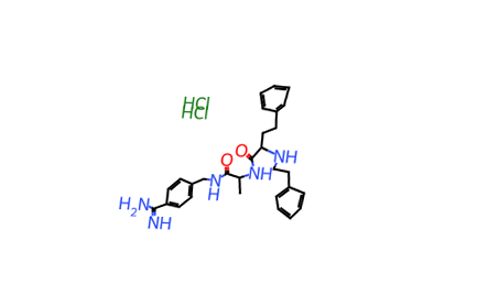 CC(NC(=O)C(CCc1ccccc1)NCCc1ccccc1)C(=O)NCc1ccc(C(=N)N)cc1.Cl.Cl